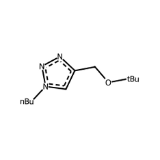 CCCCn1cc(COC(C)(C)C)nn1